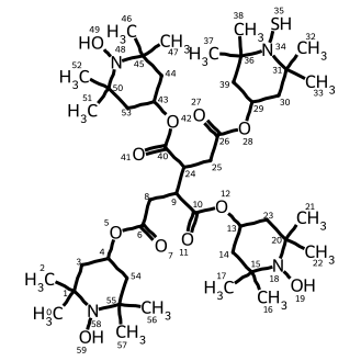 CC1(C)CC(OC(=O)CC(C(=O)OC2CC(C)(C)N(O)C(C)(C)C2)C(CC(=O)OC2CC(C)(C)N(S)C(C)(C)C2)C(=O)OC2CC(C)(C)N(O)C(C)(C)C2)CC(C)(C)N1O